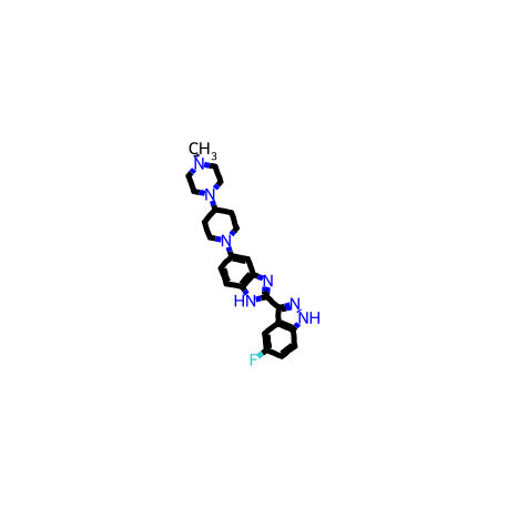 CN1CCN(C2CCN(c3ccc4[nH]c(-c5n[nH]c6ccc(F)cc56)nc4c3)CC2)CC1